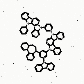 C1=CC2CCC(c3cc(-n4c5ccccc5c5ccccc54)cc(-n4c5ccccc5c5c6c7ccccc7n(-c7cccc(-n8c9ccccc9c9c8ccc8c%10ccccc%10n(-c%10ccccc%10)c89)c7)c6ccc54)c3)c3ccccc3C2C=C1